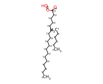 CCCCCC.CCCCCCCCCCCCCCCCCC(=O)OO